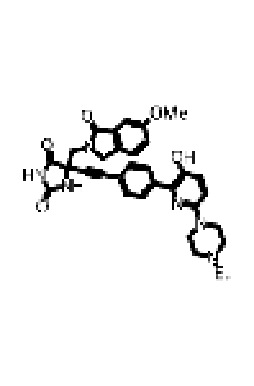 CCN1CCN(c2ccc(O)c(-c3ccc(C#CC4(CN5Cc6ccc(OC)cc6C5=O)NC(=O)NC4=O)cc3)n2)CC1